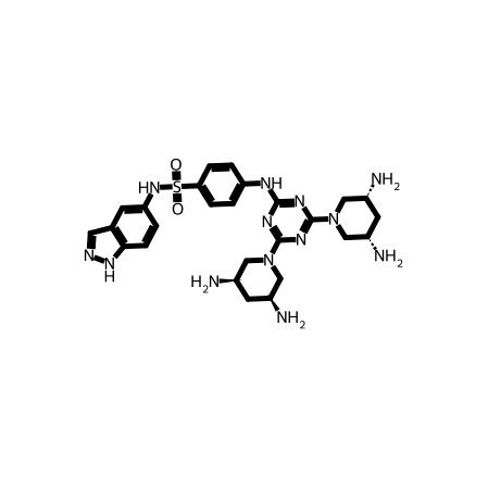 N[C@@H]1C[C@H](N)CN(c2nc(Nc3ccc(S(=O)(=O)Nc4ccc5[nH]ncc5c4)cc3)nc(N3C[C@H](N)C[C@H](N)C3)n2)C1